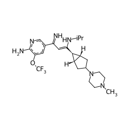 CC(C)N/C(=C\C(=N)c1cnc(N)c(OC(F)(F)F)c1)[C@H]1[C@@H]2CC(N3CCN(C)CC3)C[C@@H]21